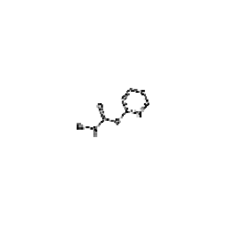 CCNC(=O)Oc1ccccn1